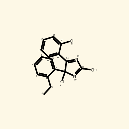 CCc1ccccc1C1(Cl)N=C(Cl)N=C1c1ccccc1Cl